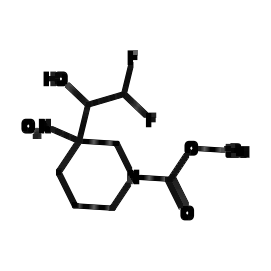 CC(C)(C)OC(=O)N1CCCC(C(O)C(F)F)([N+](=O)[O-])C1